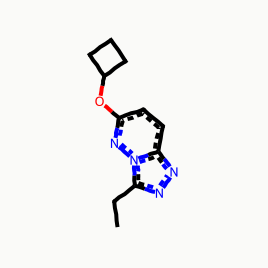 CCc1nnc2ccc(OC3CCC3)nn12